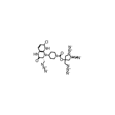 [N-]=[N+]=NC[C@@H]1C(=O)NC2=C(NC(Cl)C=C2)N1C1CCN(C(=O)OC(CN=[N+]=[N-])(CN=[N+]=[N-])CN=[N+]=[N-])CC1